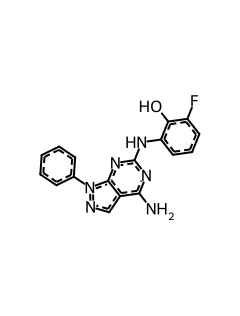 Nc1nc(Nc2cccc(F)c2O)nc2c1cnn2-c1ccccc1